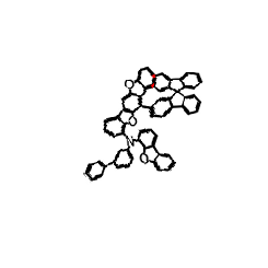 c1ccc(-c2cccc(N(c3cccc4c3oc3ccccc34)c3cccc4c3oc3c(-c5ccc6c(c5)C5(c7ccccc7-c7ccccc75)c5ccccc5-6)c5c(cc34)oc3ccccc35)c2)cc1